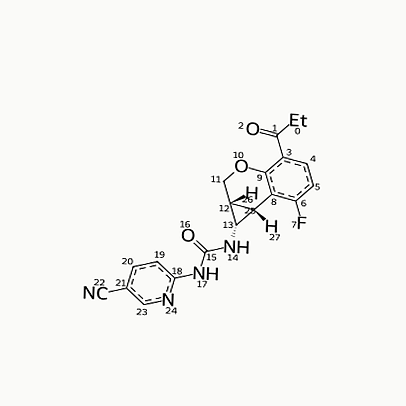 CCC(=O)c1ccc(F)c2c1OC[C@H]1[C@@H](NC(=O)Nc3ccc(C#N)cn3)[C@@H]21